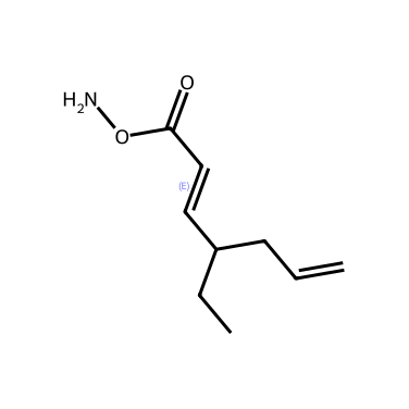 C=CCC(/C=C/C(=O)ON)CC